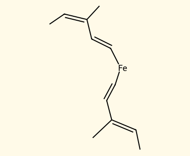 CC=C(C)C=[CH][Fe][CH]=CC(C)=CC